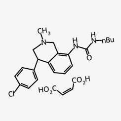 CCCCNC(=O)Nc1cccc2c1CN(C)CC2c1ccc(Cl)cc1.O=C(O)/C=C\C(=O)O